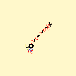 CC(C)(C)OC(=O)COCCOCCOCCOc1ccc([N+](=O)[O-])c(C(F)(F)F)c1